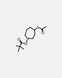 CC(=O)SC1CCCN(OC(=O)C(C)(C)C)CC1